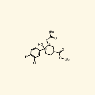 CC(C)(C)OC(=O)N1CC[C@](O)(c2ccc(F)c(Cl)c2)[C@@H](OC(=O)C(C)(C)C)C1